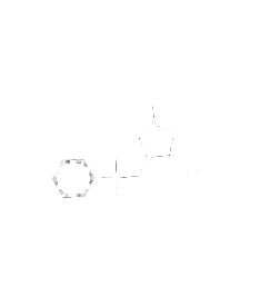 CCCCCCC1CN(C)CN1C[Si](C)(C)c1ccccc1